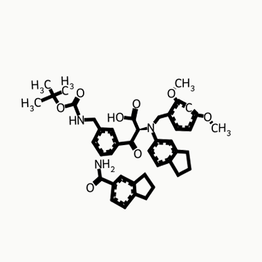 COc1ccc(CN(c2ccc3c(c2)CCC3)[C@H](C(=O)O)C(=O)c2cccc(CNC(=O)OC(C)(C)C)c2)c(OC)c1.NC(=O)c1ccc2c(c1)CCC2